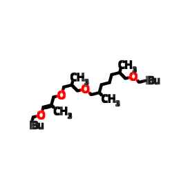 CCC(C)CO/C=C(\C)COCC(C)COCC(C)CCCC(C)COCC(C)CC